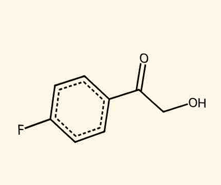 O=C(CO)c1ccc(F)cc1